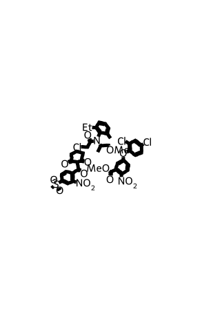 CCc1cccc(C)c1N(C(=O)CCl)C(C)COC.COC(=O)c1cc(Oc2ccc(Cl)cc2Cl)ccc1[N+](=O)[O-].CS(=O)(=O)c1ccc(C(=O)C2C(=O)CCCC2=O)c([N+](=O)[O-])c1